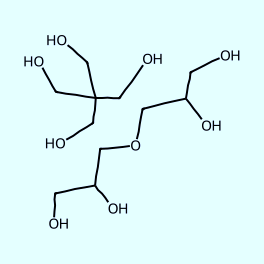 OCC(CO)(CO)CO.OCC(O)COCC(O)CO